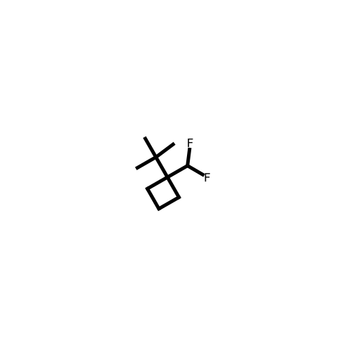 CC(C)(C)C1(C(F)F)CCC1